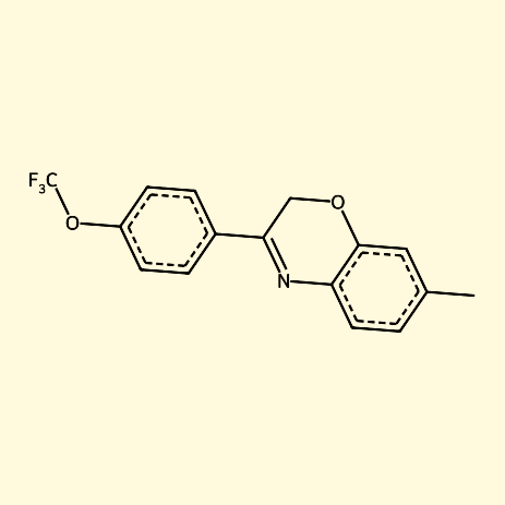 Cc1ccc2c(c1)OCC(c1ccc(OC(F)(F)F)cc1)=N2